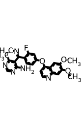 C/N=C(/c1ccc(Oc2ccnc3cc(OC)c(OC)cc23)cc1F)c1c(C)ncnc1N